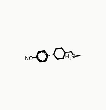 C[SiH2]C[C@H]1CC[C@H](c2ccc(C#N)cc2)CC1